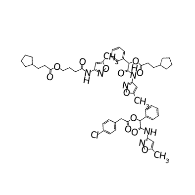 Cc1cc(NC(=O)C(OC(=O)CCC2CCCC2)c2ccccc2)no1.Cc1cc(NC(=O)C(OC(=O)Cc2ccc(Cl)cc2)c2ccccc2)no1.Cc1cc(NC(=O)CCCOC(=O)CCC2CCCC2)no1